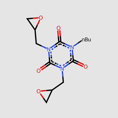 CCCCn1c(=O)n(CC2CO2)c(=O)n(CC2CO2)c1=O